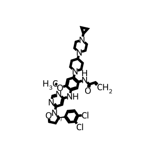 C=CC(=O)Nc1cc(Nc2cc(N3OCC[C@@H]3c3ccc(Cl)c(Cl)c3)ncn2)c(OC)cc1N1CCC(N2CCN(C3CC3)CC2)CC1